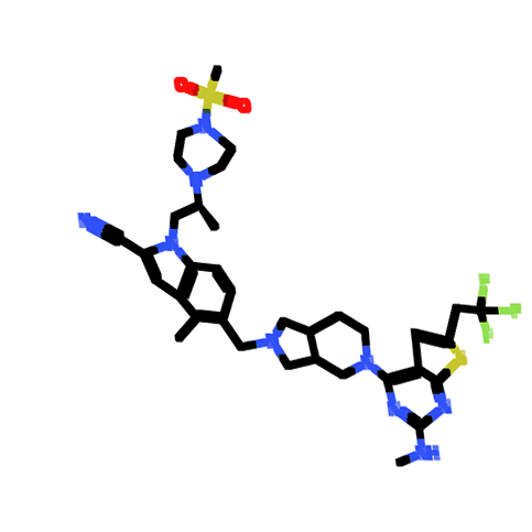 CNc1nc(N2CCC3CN(Cc4ccc5c(cc(C#N)n5C[C@H](C)N5CCN(S(C)(=O)=O)CC5)c4C)CC3C2)c2cc(CC(F)(F)F)sc2n1